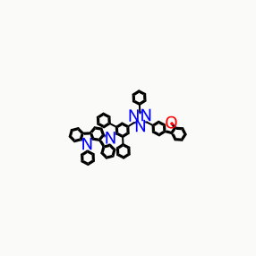 c1ccc(-c2nc(-c3cc(-c4ccccc4)c(-n4c5ccccc5c5c4ccc4c6ccccc6n(-c6ccccc6)c45)c(-c4ccccc4)c3)nc(-c3ccc4c(c3)oc3ccccc34)n2)cc1